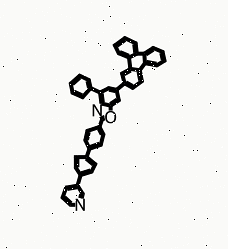 c1ccc(-c2cc(-c3ccc4c5ccccc5c5ccccc5c4c3)cc3oc(-c4ccc(-c5ccc(-c6cccnc6)cc5)cc4)nc23)cc1